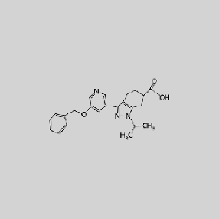 CC(C)n1nc(-c2cncc(OCc3ccccc3)c2)c2c1CC(C(=O)O)CC2